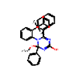 CCCCCCCCOC1(c2ccccc2)N=C(O)N=C(c2ccccc2)N1c1ccccc1C(C)(C)c1ccccc1